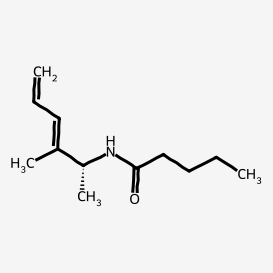 C=C/C=C(\C)[C@@H](C)NC(=O)CCCC